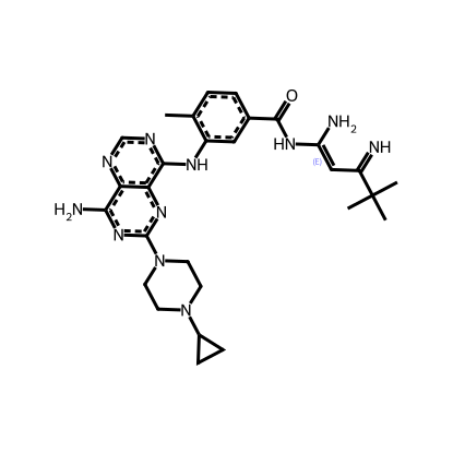 Cc1ccc(C(=O)N/C(N)=C/C(=N)C(C)(C)C)cc1Nc1ncnc2c(N)nc(N3CCN(C4CC4)CC3)nc12